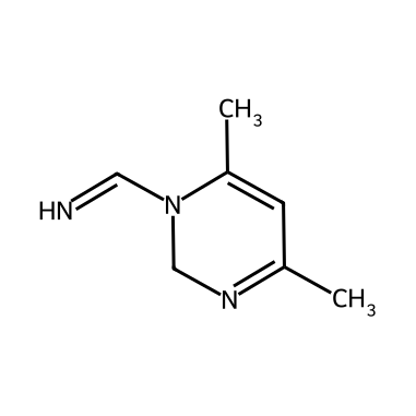 CC1=CC(C)=NCN1C=N